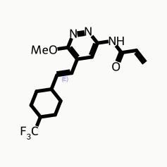 C=CC(=O)Nc1cc(/C=C/C2CCC(C(F)(F)F)CC2)c(OC)nn1